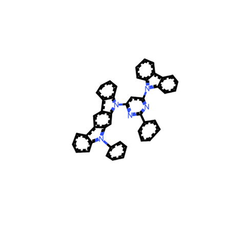 c1ccc(-c2nc(-n3c4ccccc4c4ccccc43)cc(-n3c4ccccc4c4cc5c6ccccc6n(-c6ccccc6)c5cc43)n2)cc1